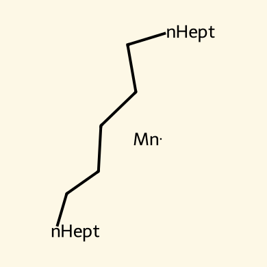 CCCCCCCCCCCCCCCCCCC.[Mn]